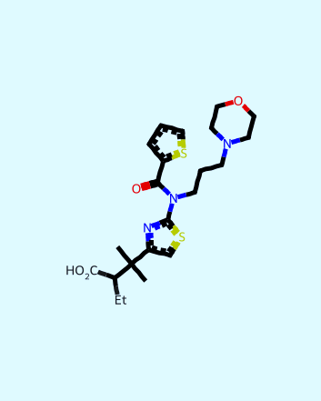 CCC(C(=O)O)C(C)(C)c1csc(N(CCCN2CCOCC2)C(=O)c2cccs2)n1